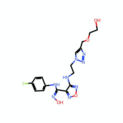 OCCOCc1cn(CCNc2nonc2C(=NO)Nc2ccc(F)cc2)nn1